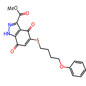 COC(=O)c1n[nH]c2c1C(=O)C(SCCCCOc1ccccc1)=CC2=O